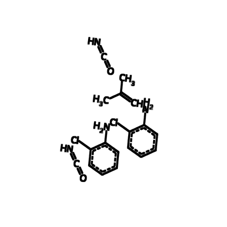 C=C(C)C.N=C=O.N=C=O.Nc1ccccc1Cl.Nc1ccccc1Cl